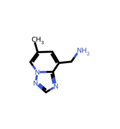 Cc1cc(CN)c2ncnn2c1